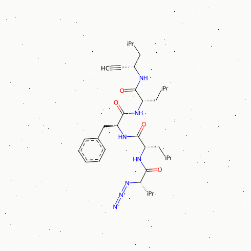 C#C[C@H](CC(C)C)NC(=O)[C@H](CC(C)C)NC(=O)[C@H](Cc1ccccc1)NC(=O)[C@H](CC(C)C)NC(=O)[C@@H](N=[N+]=[N-])C(C)C